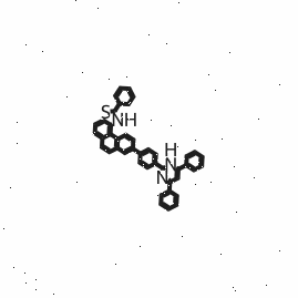 C1=CCC(C2Nc3c(ccc4ccc5cc(-c6ccc(C7N=C(c8ccccc8)C=C(c8ccccc8)N7)cc6)ccc5c34)S2)C=C1